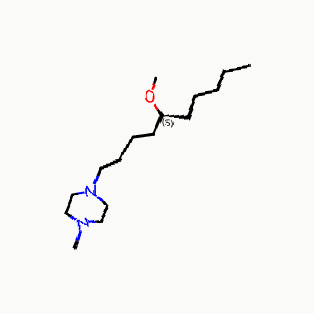 CCCCC[C@@H](CCCCN1CCN(C)CC1)OC